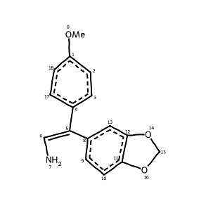 COc1ccc(/C(=C/N)c2ccc3c(c2)OCO3)cc1